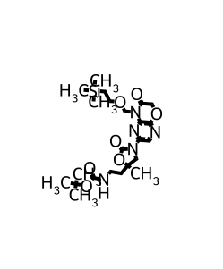 CC(C)(C)OC(=O)NCCC1(C)CN(c2cnc3c(n2)N(COCC[Si](C)(C)C)C(=O)CO3)C(=O)O1